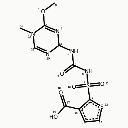 COC1=NC(NC(=O)NS(=O)(=O)c2sccc2C(=O)O)N=CN1C